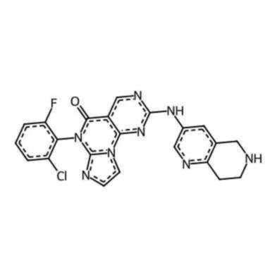 O=c1c2cnc(Nc3cnc4c(c3)CNCC4)nc2n2ccnc2n1-c1c(F)cccc1Cl